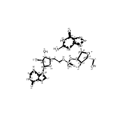 Nc1nc2c(nnn2[C@@H]2O[C@H](CO)[C@@H](F)[C@H]2OP(=O)(S)OCC[C@H]2O[C@@H](n3cnc4c(=O)[nH]cnc43)[C@@H](F)[C@@H]2O)c(=O)[nH]1